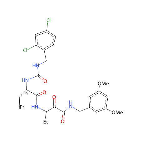 CCC(NC(=O)[C@H](CC(C)C)NC(=O)NCc1ccc(Cl)cc1Cl)C(=O)C(=O)NCc1cc(OC)cc(OC)c1